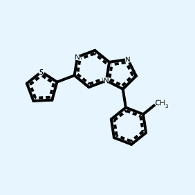 Cc1ccccc1-c1cnc2cnc(-c3cccs3)cn12